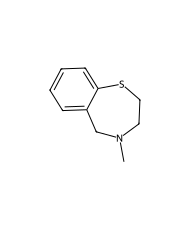 CN1CCSc2ccccc2C1